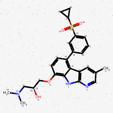 Cc1cnc2[nH]c3c(OC[C@@H](O)CN(C)C)ccc(-c4cccc(S(=O)(=O)C5CC5)c4)c3c2c1